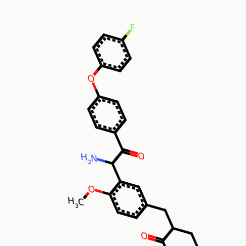 CCC(Cc1ccc(OC)c(C(N)C(=O)c2ccc(Oc3ccc(F)cc3)cc2)c1)C(=O)O